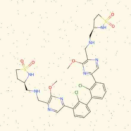 COc1nc(-c2cccc(-c3cccc(-c4cnc(CNC[C@H]5CCS(=O)(=O)N5)c(OC)n4)c3Cl)c2Cl)cnc1CNC[C@H]1CCS(=O)(=O)N1